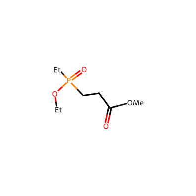 CCOP(=O)(CC)CCC(=O)OC